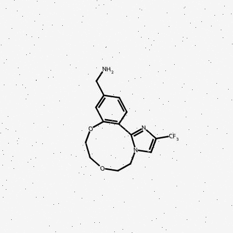 NCc1ccc2c(c1)OCCOCCn1cc(C(F)(F)F)nc1-2